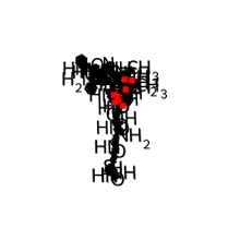 CC(C)C[C@H](NC(=O)[C@H](C)NC(=O)[C@H](Cc1c[nH]c2ccccc12)NC(=O)[C@@H]1CCCN1C(=O)[C@H](Cc1c[nH]cn1)NC(=O)[C@H](Cc1c[nH]c2ccccc12)NC(=O)[C@@H](N)Cc1ccccc1)C(=O)N[C@@H](CC(C)C)C(=O)N[C@@H](Cc1ccc(O)cc1)C(=O)N[C@@H](CCCCN)C(=O)NCC(=O)NCC(=O)NCC(=O)N[C@@H](CCCCNC(=O)CCCC[C@@H]1SC[C@@H]2NC(=O)N[C@@H]21)C(N)=O